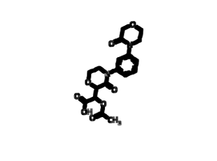 CC(=O)OC(C(=O)O)C1OCCN(c2cccc(N3CCOCC3=O)c2)C1=O